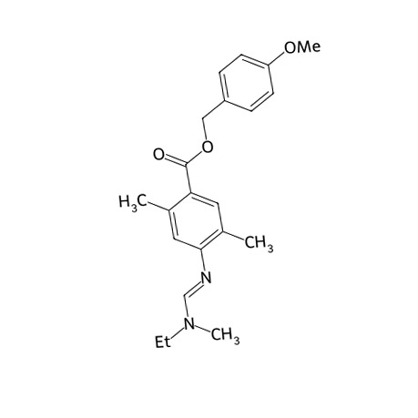 CCN(C)/C=N/c1cc(C)c(C(=O)OCc2ccc(OC)cc2)cc1C